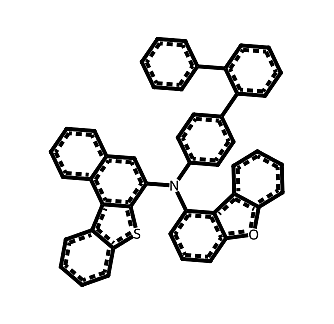 c1ccc(-c2ccccc2-c2ccc(N(c3cc4ccccc4c4c3sc3ccccc34)c3cccc4oc5ccccc5c34)cc2)cc1